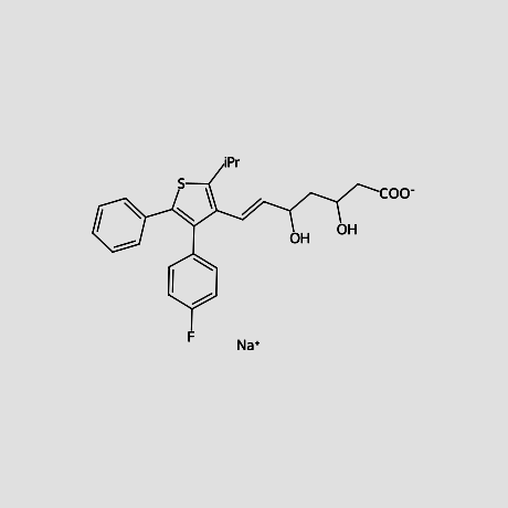 CC(C)c1sc(-c2ccccc2)c(-c2ccc(F)cc2)c1C=CC(O)CC(O)CC(=O)[O-].[Na+]